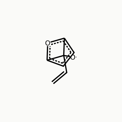 C=CC1([O])c2ccc1o2